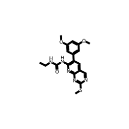 CCNC(=O)Nc1nc2nc(SC)ncc2cc1-c1cc(OC)cc(OC)c1